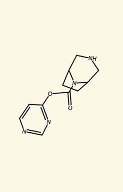 O=C(Oc1ccncn1)N1C2CCC1CNC2